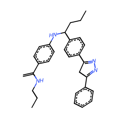 C=C(NCCC)c1ccc(NC(CCC)c2ccc(C3=NN=C(c4ccccc4)C3)cc2)cc1